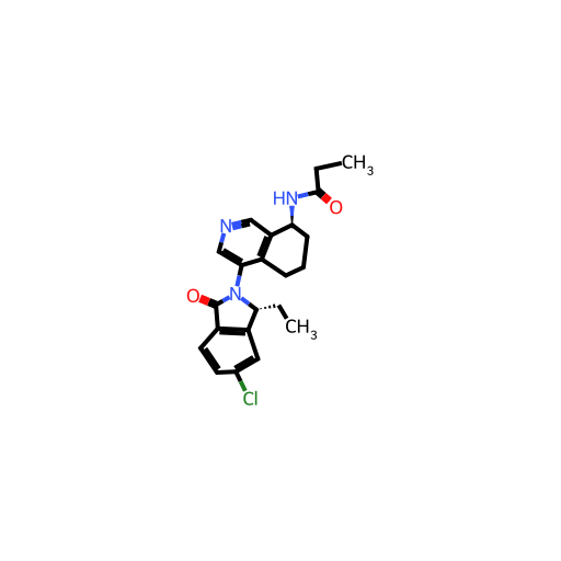 CCC(=O)N[C@H]1CCCc2c1cncc2N1C(=O)c2ccc(Cl)cc2[C@H]1CC